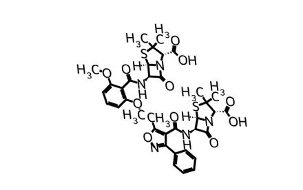 COc1cccc(OC)c1C(=O)N[C@@H]1C(=O)N2[C@@H]1SC(C)(C)[C@@H]2C(=O)O.Cc1onc(-c2ccccc2)c1C(=O)N[C@@H]1C(=O)N2[C@@H]1SC(C)(C)[C@@H]2C(=O)O